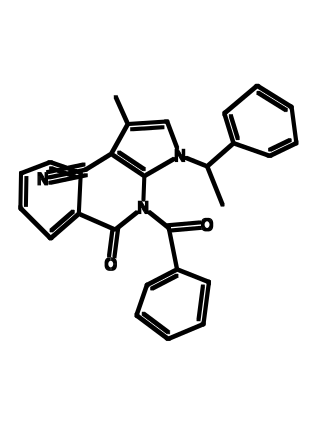 Cc1cn(C(C)c2ccccc2)c(N(C(=O)c2ccccc2)C(=O)c2ccccc2)c1C#N